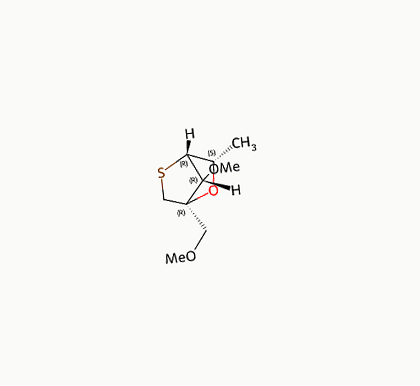 COC[C@@]12CS[C@H]([C@H](C)O1)[C@@H]2OC